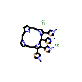 C[n+]1csc(C2=CC3=CC4=NC(=CC5=NC(=CC6=NC(=C(c7c[n+](C)cs7)C2=N3)C(c2c[n+](C)cs2)=C6c2c[n+](C)cs2)C=C5)C=C4)c1.[Cl-].[Cl-].[Cl-].[Cl-]